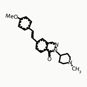 COc1ccc(C=Cc2ccc3c(=O)n(C4CCN(C)CC4)ncc3c2)cc1